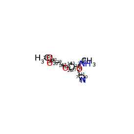 CN/C=C(\OCc1ccncc1)c1ccc(OCCCCCC(=O)OC)cc1